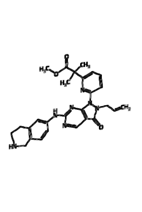 C=CCn1c(=O)c2cnc(Nc3ccc4c(c3)CCNC4)nc2n1-c1cccc(C(C)(C)C(=O)OC)n1